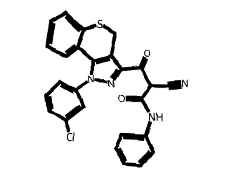 N#CC(C(=O)Nc1ccccc1)C(=O)c1nn(-c2cccc(Cl)c2)c2c1CSc1ccccc1-2